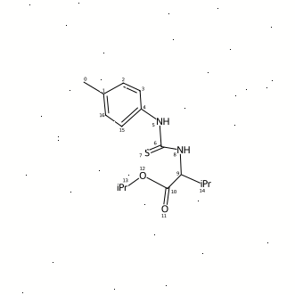 Cc1ccc(NC(=S)NC(C(=O)OC(C)C)C(C)C)cc1